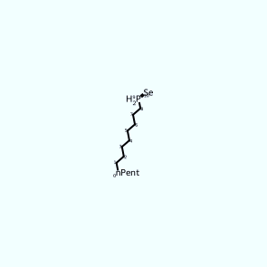 CCCCCCCCCCCCC[PH2]=[Se]